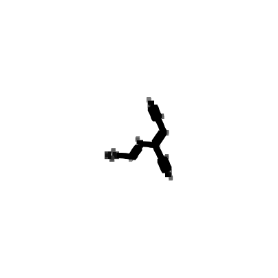 N#CC=C(C#N)N=CN